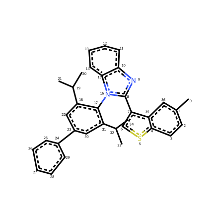 Cc1ccc2scc(-c3nc4ccccc4n3-c3c(C(C)C)cc(-c4ccccc4)cc3C(C)C)c2c1